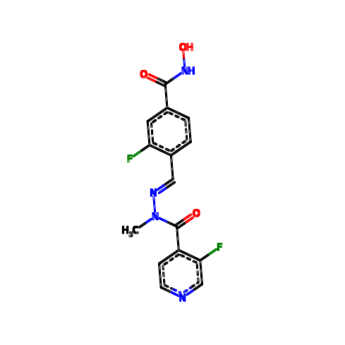 CN(/N=C/c1ccc(C(=O)NO)cc1F)C(=O)c1ccncc1F